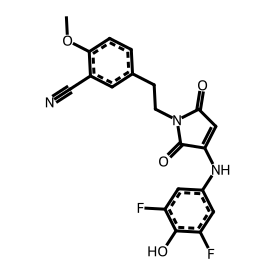 COc1ccc(CCN2C(=O)C=C(Nc3cc(F)c(O)c(F)c3)C2=O)cc1C#N